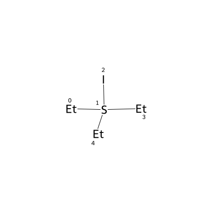 CCS(I)(CC)CC